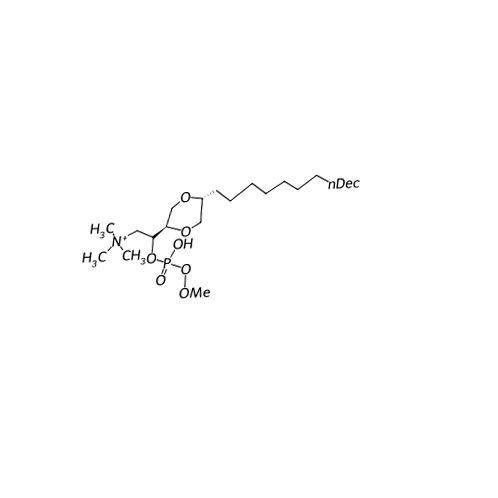 CCCCCCCCCCCCCCCCC[C@@H]1CO[C@@H](C(C[N+](C)(C)C)OP(=O)(O)OOC)CO1